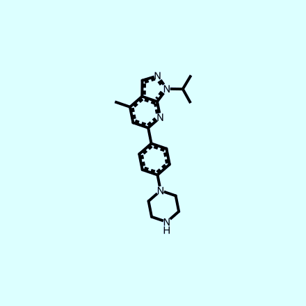 Cc1cc(-c2ccc(N3CCNCC3)cc2)nc2c1cnn2C(C)C